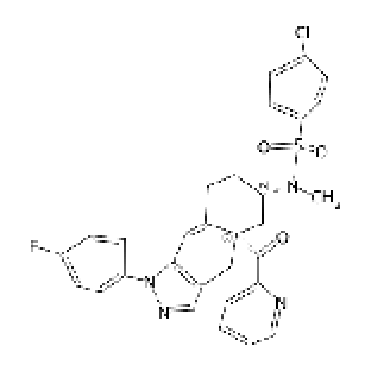 CN([C@H]1CCC2=Cc3c(cnn3-c3ccc(F)cc3)C[C@]2(C(=O)c2ccccn2)C1)S(=O)(=O)c1ccc(Cl)cc1